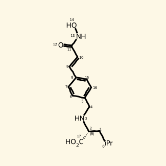 CC(C)C[C@@H](NCc1ccc(C=CC(=O)NO)cc1)C(=O)O